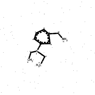 [CH2]CN(CC)c1cccc(CN)c1